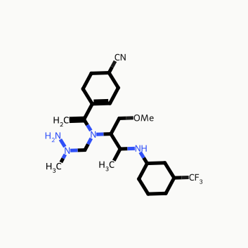 C=C(C1=CCC(C#N)CC1)N(CN(C)N)C(COC)C(C)NC1CCCC(C(F)(F)F)C1